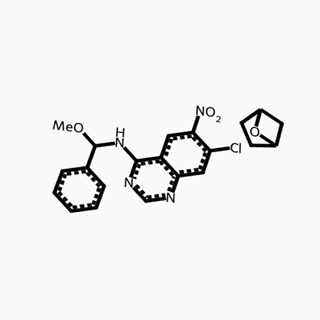 C1CC2CC1O2.COC(Nc1ncnc2cc(Cl)c([N+](=O)[O-])cc12)c1ccccc1